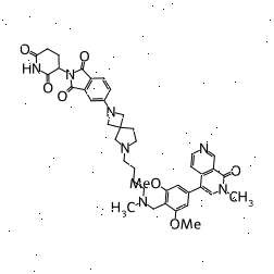 COc1cc(-c2cn(C)c(=O)c3cnccc23)cc(OC)c1CN(C)CCCCN1CCC2(C1)CN(c1ccc3c(c1)C(=O)N(C1CCC(=O)NC1=O)C3=O)C2